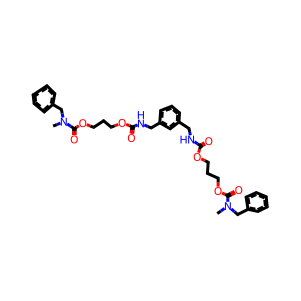 CN(Cc1ccccc1)C(=O)OCCCOC(=O)NCc1cccc(CNC(=O)OCCCOC(=O)N(C)Cc2ccccc2)c1